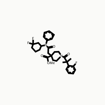 COC(=O)C1(CC(=O)N(c2ccccc2)C2CCCC(F)(F)C2)CCN(C(=O)C(C)(C)c2ccccc2F)CC1